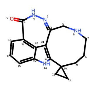 O=C1NN=C2CNCCCC3(CC3)c3[nH]c4cccc1c4c32